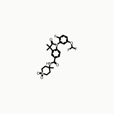 CC1(NC(=O)c2ccc3c(c2)C(C)(C)C(=O)N3c2cc(OC(F)F)ccc2F)CCS(=O)(=O)CC1